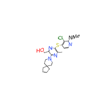 CNc1nccc(Sc2nc(CO)c(N3CCC4(CCCC4)CC3)nc2C)c1Cl